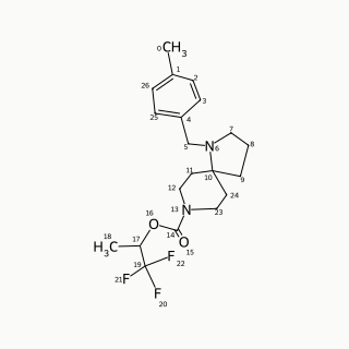 Cc1ccc(CN2CCCC23CCN(C(=O)OC(C)C(F)(F)F)CC3)cc1